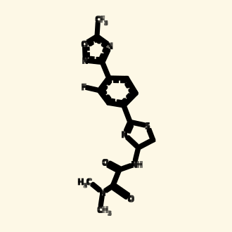 CN(C)C(=O)C(=O)NC1CSC(c2ccc(-c3noc(C(F)(F)F)n3)c(F)c2)=N1